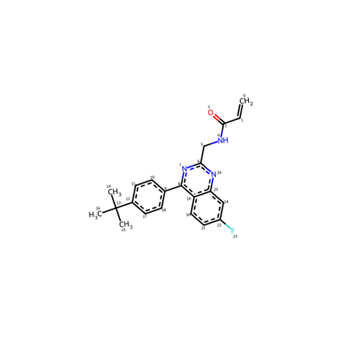 C=CC(=O)NCc1nc(-c2ccc(C(C)(C)C)cc2)c2ccc(F)cc2n1